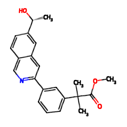 COC(=O)C(C)(C)c1cccc(-c2cc3cc([C@@H](C)O)ccc3cn2)c1